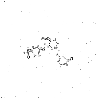 CO[C@H]1CCN(CCc2cccc(Cl)c2)C[C@@H]1COc1ccc(S(C)(=O)=O)cc1